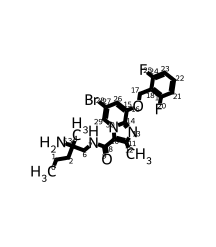 CCCC(C)(N)CNC(=O)c1c(C)nc2c(OCc3c(F)cccc3F)cc(Br)cn12